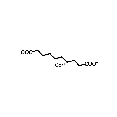 O=C([O-])CCCCCCCCC(=O)[O-].[Co+2]